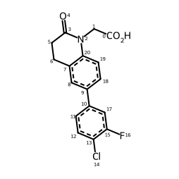 O=C(O)CN1C(=O)CCc2cc(-c3ccc(Cl)c(F)c3)ccc21